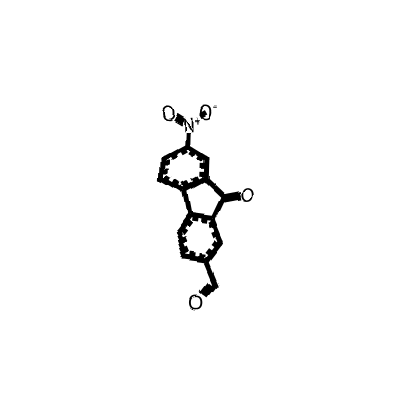 O=Cc1ccc2c(c1)C(=O)c1cc([N+](=O)[O-])ccc1-2